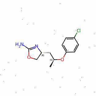 C[C@@H](C[C@@H]1COC(N)=N1)Oc1ccc(Cl)cc1